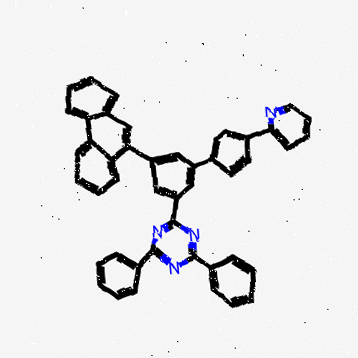 c1ccc(-c2nc(-c3ccccc3)nc(-c3cc(-c4ccc(-c5ccccn5)cc4)cc(-c4cc5ccccc5c5ccccc45)c3)n2)cc1